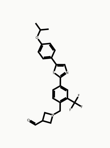 CC(C)Oc1ccc(-c2cnc(-c3ccc(CN4CC(C=O)C4)c(C(F)(F)F)c3)s2)cc1